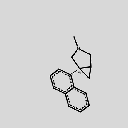 CN1CC2C[C@@]2(c2cccc3ccccc23)C1